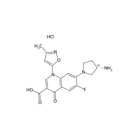 Cc1cc(-n2cc(C(=O)O)c(=O)c3cc(F)c(N4CC[C@H](N)C4)cc32)on1.Cl